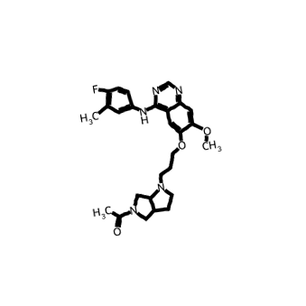 COc1cc2ncnc(Nc3ccc(F)c(C)c3)c2cc1OCCCN1CCC2CN(C(C)=O)CC21